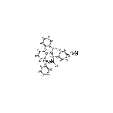 CC(c1ccccc1)N1c2ccccc2N(c2ccccc2)N(C)C1c1ccc(C#N)cc1